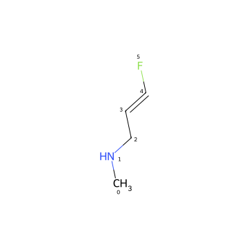 CNCC=CF